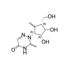 C=C1[C@@H](N2N=CC(=O)NC2=C)[C@@H](O)C(O)[C@H]1CO